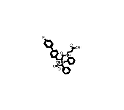 O=C(O)CCNC(=O)[C@H](Cc1ccc(-c2ccc(F)cc2)cc1)N(c1ccccc1)C(c1ccccc1)P(=O)(O)O